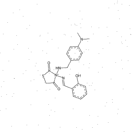 CN(C)c1ccc(CN[N+]2(N=Cc3ccccc3O)C(=O)CSC2=O)cc1